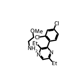 CCc1cnc(CC)c(-c2ccc(Cl)cc2Cl)n1.COCCN